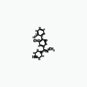 C/N=C(\c1cnc(-c2ccccc2F)c(Cl)c1)N1CCNCC1